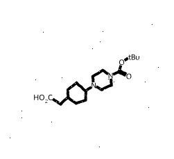 CC(C)(C)OC(=O)N1CCN(C2CCC(CC(=O)O)CC2)CC1